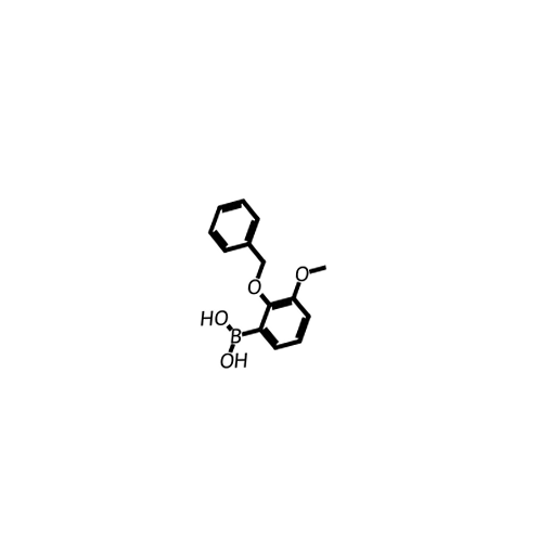 COc1cccc(B(O)O)c1OCc1ccccc1